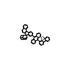 c1ccc2c3c(ccc2c1)C1(c2cc(-c4c5ccccc5c(-c5cccc6c5oc5ccccc56)c5ccccc45)ccc2-3)C2CC3CC(C2)CC1C3